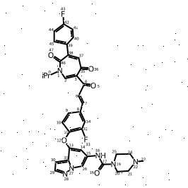 CC(C)n1cc(C(=O)/C=C/c2ccc(Oc3cc(NC(=O)N4CCN(C)CC4)cn4nccc34)c(F)c2)c(=O)cc(-c2ccc(F)cc2)c1=O